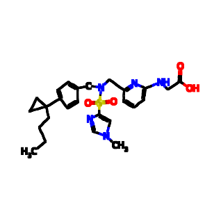 CCCCC1(c2ccc(CN(Cc3cccc(NCC(=O)O)n3)S(=O)(=O)c3cn(C)cn3)cc2)CC1